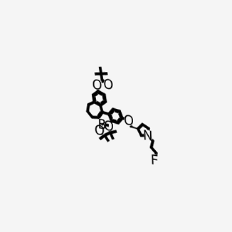 CC(C)(C)C(=O)Oc1ccc2c(c1)CCCC(B1OC(C)(C)C(C)(C)O1)=C2c1ccc(OC[C@H]2CCN(CCCF)C2)cc1